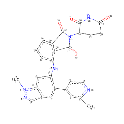 Cc1cc(-c2cc3cnn(C)c3cc2Nc2cccc3c2C(=O)N(C2CCC(=O)NC2=O)C3=O)ccn1